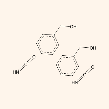 N=C=O.N=C=O.OCc1ccccc1.OCc1ccccc1